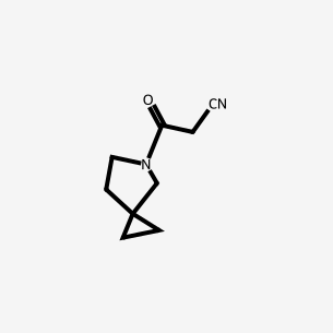 N#CCC(=O)N1CCC2(CC2)C1